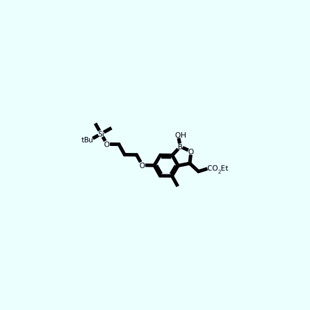 CCOC(=O)CC1OB(O)c2cc(OCCCO[Si](C)(C)C(C)(C)C)cc(C)c21